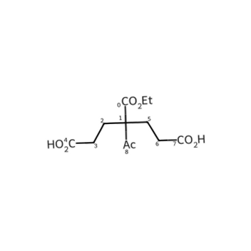 CCOC(=O)C(CCC(=O)O)(CCC(=O)O)C(C)=O